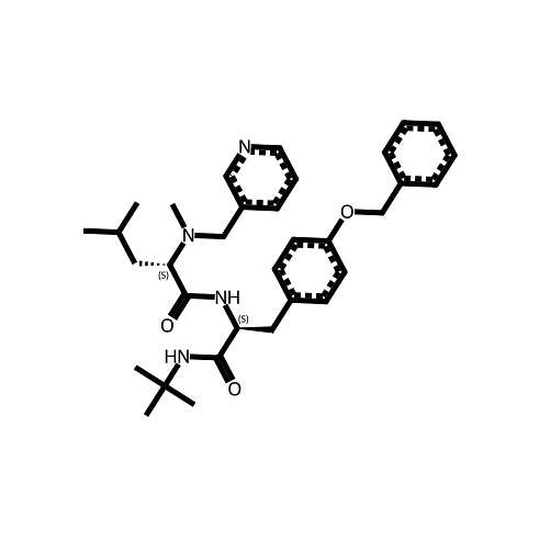 CC(C)C[C@@H](C(=O)N[C@@H](Cc1ccc(OCc2ccccc2)cc1)C(=O)NC(C)(C)C)N(C)Cc1cccnc1